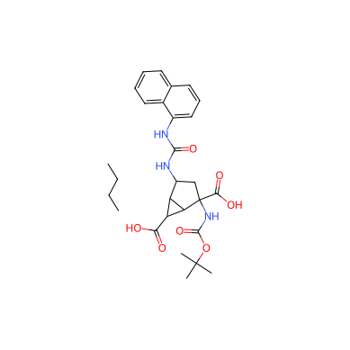 CC(C)(C)OC(=O)NC1(C(=O)O)CC(NC(=O)Nc2cccc3ccccc23)C2C(C(=O)O)C21.CCCC